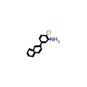 Nc1cc(-c2[c]c3ccccc3cc2)ccc1Cl